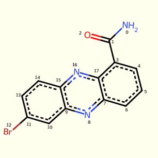 NC(=O)c1cccc2nc3cc(Br)ccc3nc12